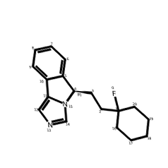 FC1(CC[C@@H]2c3ccccc3-c3cncn32)CCCCC1